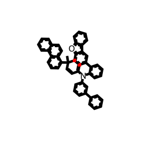 CC1(c2cccc3c2ccc2ccccc23)C=CC(N(c2cccc(-c3ccccc3)c2)c2ccccc2-c2ccc3oc4ccccc4c3c2)=CC1